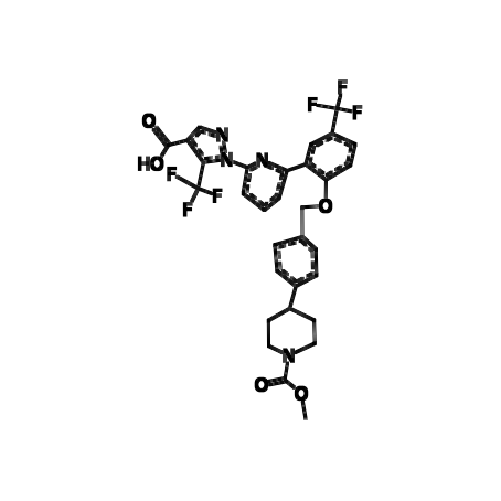 COC(=O)N1CCC(c2ccc(COc3ccc(C(F)(F)F)cc3-c3cccc(-n4ncc(C(=O)O)c4C(F)(F)F)n3)cc2)CC1